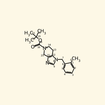 Cc1ccccc1Cn1cnc2c1CCN(C(=O)OC(C)(C)C)C2